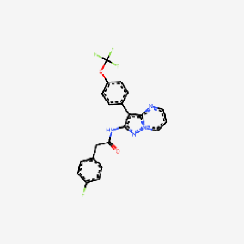 O=C(Cc1ccc(F)cc1)Nc1nn2cccnc2c1-c1ccc(OC(F)(F)F)cc1